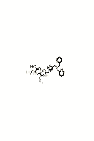 C[C@@H](NC(=O)[C@@H](C)NC(=O)Cn1cc(CN(Cc2ccccn2)Cc2ccccn2)nn1)C(=O)O